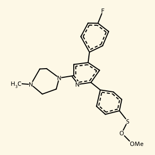 COOSc1ccc(-c2cc(-c3ccc(F)cc3)cc(N3CCN(C)CC3)n2)cc1